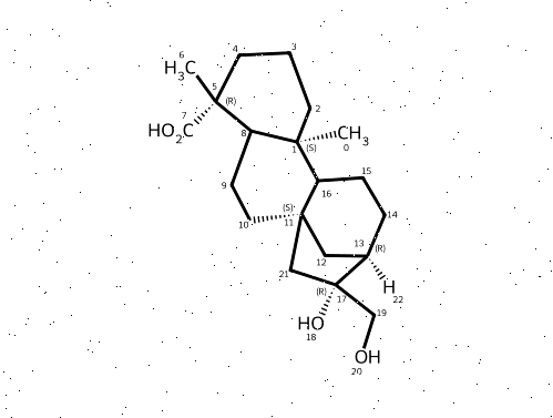 C[C@@]12CCC[C@@](C)(C(=O)O)C1CC[C@@]13C[C@@H](CCC12)[C@@](O)(CO)C3